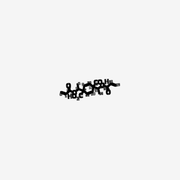 C=CC(=O)OC(C)C1(C(=O)O)C=CC(C(=O)O)(C(C)OC(=O)C=C)C=C1